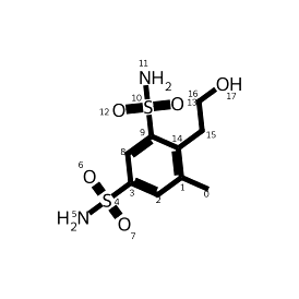 Cc1cc(S(N)(=O)=O)cc(S(N)(=O)=O)c1CCO